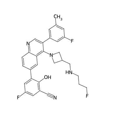 Cc1cc(F)cc(-c2cnc3ccc(-c4cc(F)cc(C#N)c4O)cc3c2N2CC(CNCCCF)C2)c1